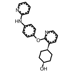 O[C@H]1CC[C@@H](c2cccnc2Oc2ccc(Nc3ccccn3)cc2)CC1